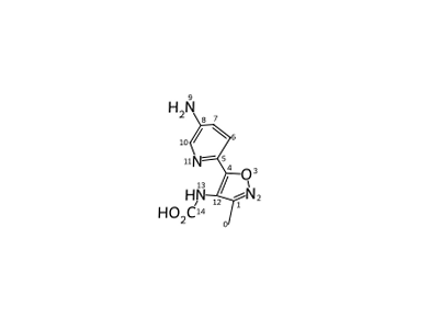 Cc1noc(-c2ccc(N)cn2)c1NC(=O)O